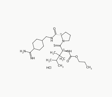 CCCOC(=O)N[C@H](C(=S)N1CCC[C@H]1C(=O)NCC1CCC(C(=N)N)CC1)C(C)(C)C(C)C.Cl